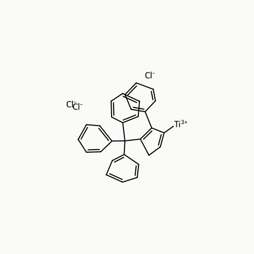 [Cl-].[Cl-].[Cl-].[Ti+3][C]1=CCC(C(c2ccccc2)(c2ccccc2)c2ccccc2)=C1c1ccccc1